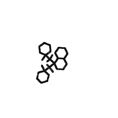 CC1(C(C)(C)C2(C(C)(C)C3(C)CCCCC3)CCCC3CCCCC32)CCCCC1